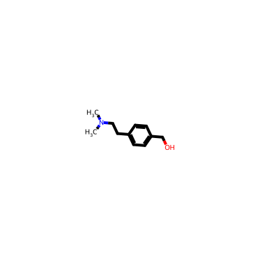 CN(C)CCc1ccc(CO)cc1